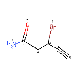 C#CC(Br)CC(N)=O